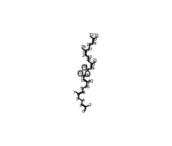 CC(C)=CCCC(C)=CCCC(C)=CC(=O)OC(=O)C=C(C)CCC=C(C)CCC=C(C)C